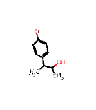 CC(O)C(C)c1ccc(Br)cc1